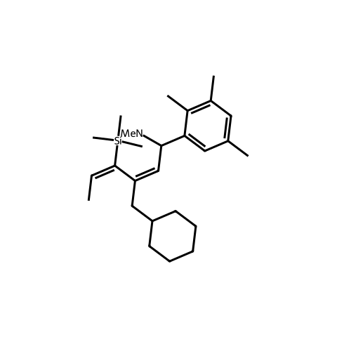 C/C=C(\C(=C/C(NC)c1cc(C)cc(C)c1C)CC1CCCCC1)[Si](C)(C)C